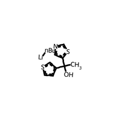 CC(O)(c1ccsc1)c1cncs1.[Li][CH2]CCC